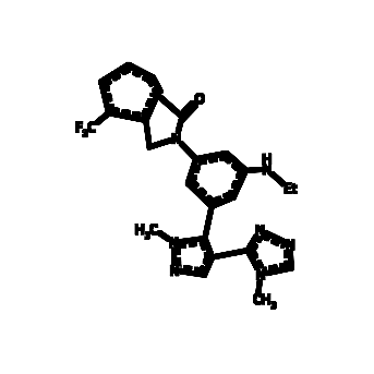 CCNc1cc(-c2c(-c3nncn3C)cnn2C)cc(N2Cc3c(cccc3C(F)(F)F)C2=O)c1